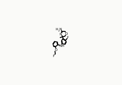 CC1(c2cc(Nc3ccccc3OCCF)ccc2F)COCC(N)=N1